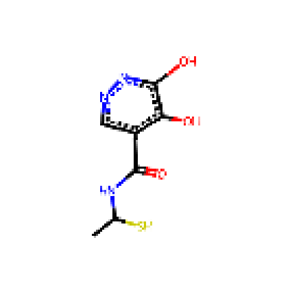 CC(S)NC(=O)c1cnnc(O)c1O